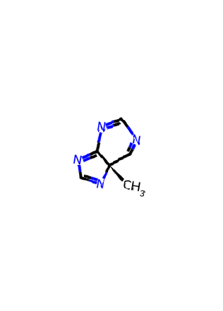 C[C@]12C=NC=NC1=NC=N2